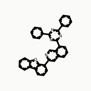 c1ccc(-c2nc(-c3ccccc3)nc(-c3cccc4cc(-c5cccc6c5oc5ccccc56)ncc34)n2)cc1